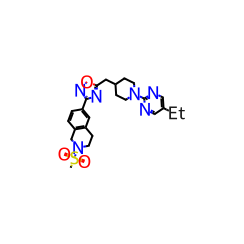 CCc1cnc(N2CCC(Cc3nc(-c4ccc5c(c4)CCN(S(C)(=O)=O)C5)no3)CC2)nc1